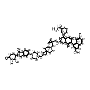 C[C@@]1(O)CCCN(c2nc(OCC3(CN4CCC5(CC4)CC(CN4CCN(c6ccc7c(c6)CN([C@H]6CCC(=O)NC6=O)C7=O)CC4)C5)CC3)nc3c(F)c(-c4cc(O)cc5ccc(F)c(Cl)c45)c(F)cc23)C1